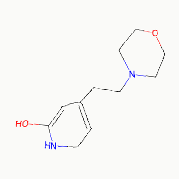 OC1=CC(CCN2CCOCC2)=CCN1